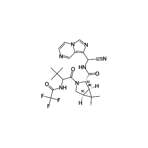 CC(C)(C)C(NC(=O)C(F)(F)F)C(=O)N1C[C@H]2[C@@H]([C@H]1C(=O)NC(C#N)c1ncn3ccncc13)C2(C)C